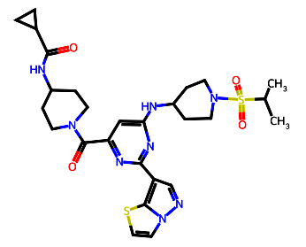 CC(C)S(=O)(=O)N1CCC(Nc2cc(C(=O)N3CCC(NC(=O)C4CC4)CC3)nc(-c3cnn4ccsc34)n2)CC1